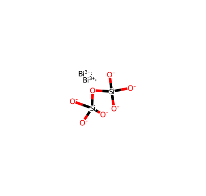 [Bi+3].[Bi+3].[O-][Si]([O-])([O-])O[Si]([O-])([O-])[O-]